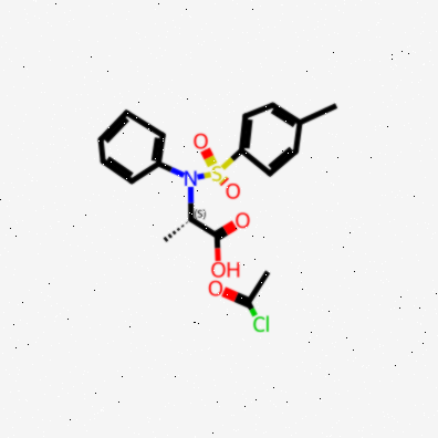 CC(=O)Cl.Cc1ccc(S(=O)(=O)N(c2ccccc2)[C@@H](C)C(=O)O)cc1